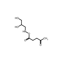 CC(=O)CCC(=O)ONCC(O)CO